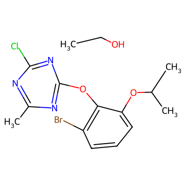 CCO.Cc1nc(Cl)nc(Oc2c(Br)cccc2OC(C)C)n1